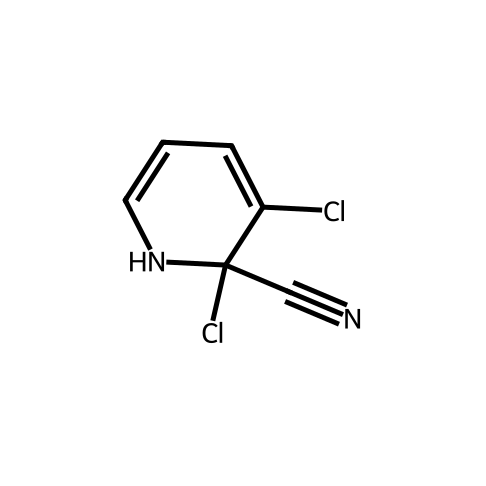 N#CC1(Cl)NC=CC=C1Cl